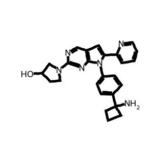 NC1(c2ccc(-n3c(-c4ccccn4)cc4cnc(N5CCC(O)C5)nc43)cc2)CCC1